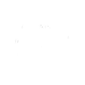 CC(=O)N[C@@H]1C(Oc2ccccc2O)OC(CO)[C@H](O)C1O